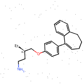 CC[C@H](CCN)COc1ccc(C2=CCCCc3ccccc32)cc1